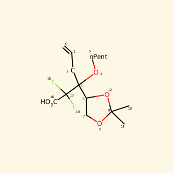 C=CCC(OCCCCC)(C1COC(C)(C)O1)C(F)(F)C(=O)O